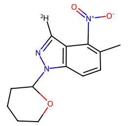 [2H]c1nn(C2CCCCO2)c2ccc(C)c([N+](=O)[O-])c12